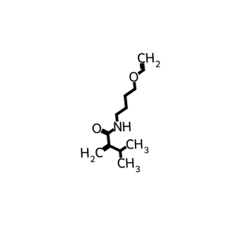 C=COCCCCNC(=O)C(=C)C(C)C